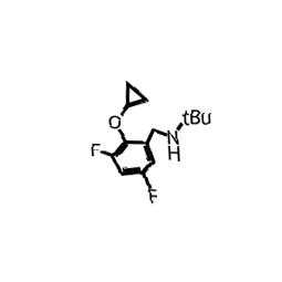 CC(C)(C)NCc1cc(F)cc(F)c1OC1CC1